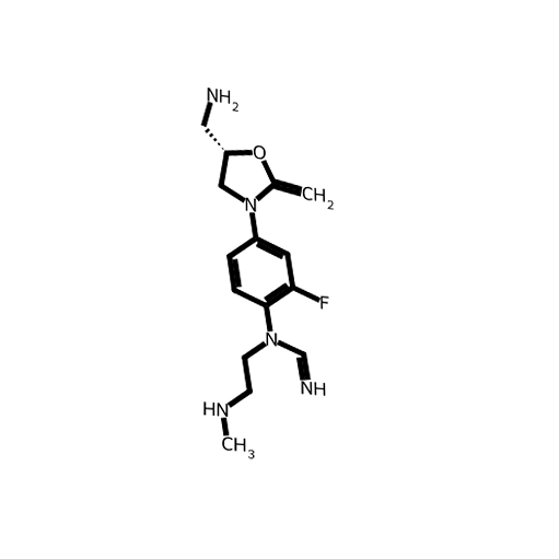 C=C1O[C@@H](CN)CN1c1ccc(N(C=N)CCNC)c(F)c1